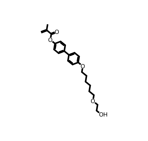 C=C(C)C(=O)Oc1ccc(-c2ccc(OCCCCCCOCCO)cc2)cc1